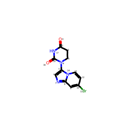 O=C1CCN(c2cnc3cc(Br)ccn23)C(=O)N1